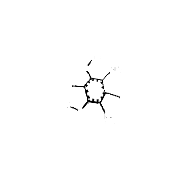 Cc1c(N)c(SC(C)(C)C)c(C)c(SC(C)(C)C)c1N